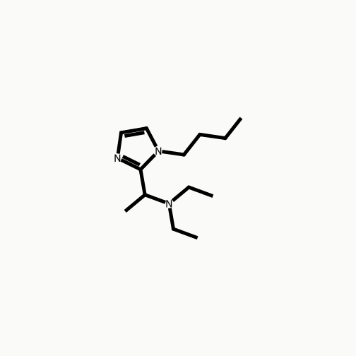 CCCCn1ccnc1C(C)N(CC)CC